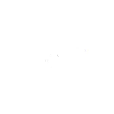 NC(=O)CC(c1cccs1)N1CC(=O)N(Cc2ccccc2)C1=O